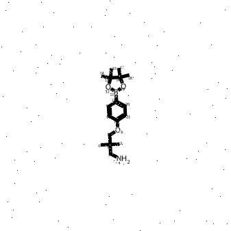 CC(C)(CN)COc1ccc(B2OC(C)(C)C(C)(C)O2)cc1